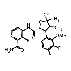 COc1c([C@H]2[C@H](C(=O)Nc3ccnc(C(N)=O)c3F)O[C@@](C)(C(F)(F)F)[C@H]2C)ccc(F)c1F